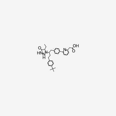 CCC1C(=O)NNN1C(CCc1ccc(C(C)(C)C)cc1)Cc1ccc(-c2cccc(CC(=O)O)n2)cc1